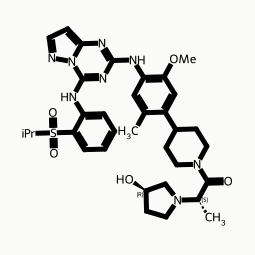 COc1cc(C2CCN(C(=O)[C@H](C)N3CC[C@@H](O)C3)CC2)c(C)cc1Nc1nc(Nc2ccccc2S(=O)(=O)C(C)C)n2nccc2n1